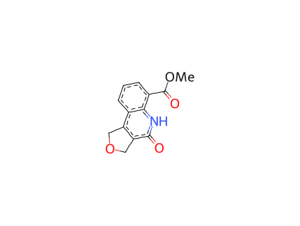 COC(=O)c1cccc2c3c(c(=O)[nH]c12)COC3